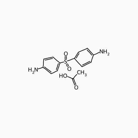 CC(=O)O.Nc1ccc(S(=O)(=O)c2ccc(N)cc2)cc1